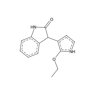 CCOc1[nH]ccc1C1C(=O)Nc2ccccc21